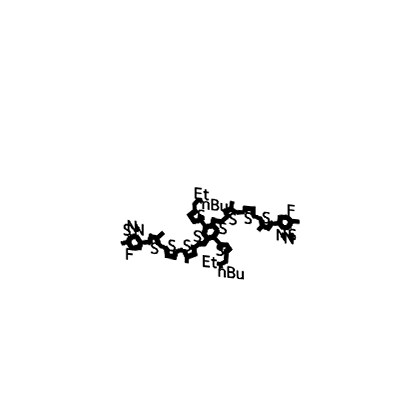 CCCCC(CC)Cc1ccc(-c2c3cc(-c4cc(C)c(-c5ccc(-c6sc(-c7cc(F)c(C)c8snnc78)cc6C)s5)s4)sc3c(-c3ccc(CC(CC)CCCC)s3)c3cc(-c4cc(C)c(-c5ccc(-c6sc(-c7cc(F)c(C)c8snnc78)cc6C)s5)s4)sc23)s1